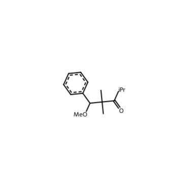 COC(c1ccccc1)C(C)(C)C(=O)C(C)C